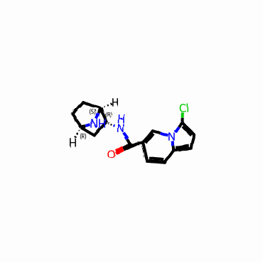 O=C(N[C@@H]1C[C@H]2CC[C@@H]1N2)c1ccc2ccc(Cl)n2c1